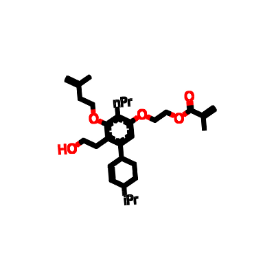 C=C(C)CCOc1c(CCC)c(OCCOC(=O)C(=C)C)cc(C2C=CC(C(C)C)CC2)c1CCO